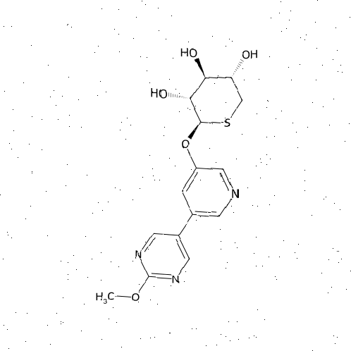 COc1ncc(-c2cncc(O[C@@H]3SC[C@@H](O)[C@H](O)[C@H]3O)c2)cn1